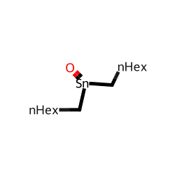 CCCCCC[CH2][Sn](=[O])[CH2]CCCCCC